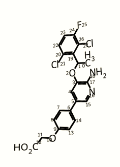 CC(Oc1cc(-c2ccc(OCC(=O)O)cc2)cnc1N)c1c(Cl)ccc(F)c1Cl